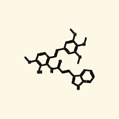 COc1ccc(C=Cc2cc(OC)c(OC)c(OC)c2)c(NC(=O)/C=C/c2c[nH]c3ccccc23)c1O